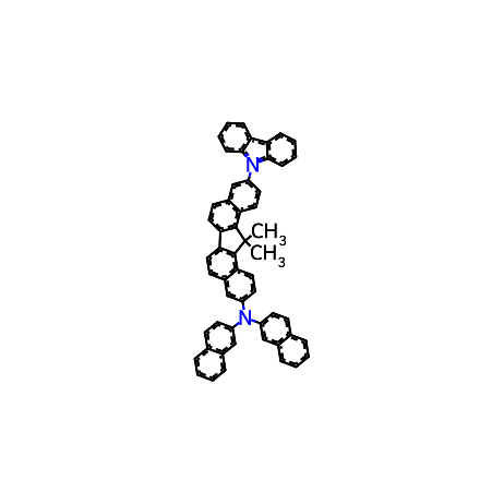 CC1(C)c2c(ccc3cc(N(c4ccc5ccccc5c4)c4ccc5ccccc5c4)ccc23)-c2ccc3cc(-n4c5ccccc5c5ccccc54)ccc3c21